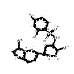 N#Cc1cnc2ccc(-c3cnc(Cl)c(NS(=O)(=O)c4ccc(F)cc4F)c3)nn12